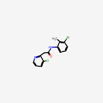 Cc1c(Br)cccc1NC(=O)Cc1ncccc1Cl